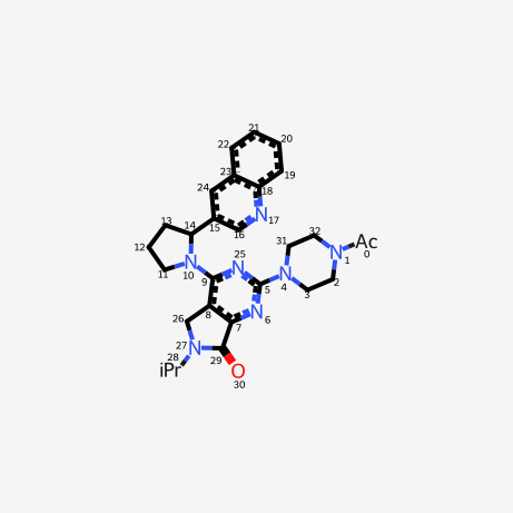 CC(=O)N1CCN(c2nc3c(c(N4CCCC4c4cnc5ccccc5c4)n2)CN(C(C)C)C3=O)CC1